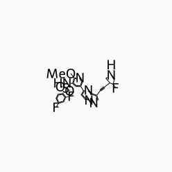 COc1ncc(-c2ccn3ncc(C#CC4CNCC4F)c3n2)cc1NS(=O)(=O)c1ccc(F)cc1F